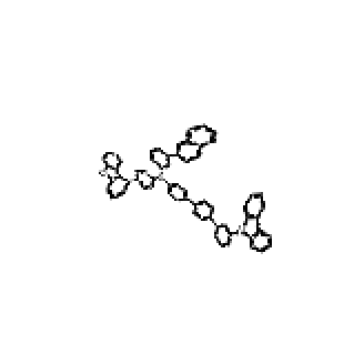 c1cc(-c2ccc3ccccc3c2)cc(N(c2ccc(-c3ccc(-c4cccc(-n5c6ccccc6c6ccccc65)c4)cc3)cc2)c2ccc(-c3cccc4oc5ccccc5c34)cc2)c1